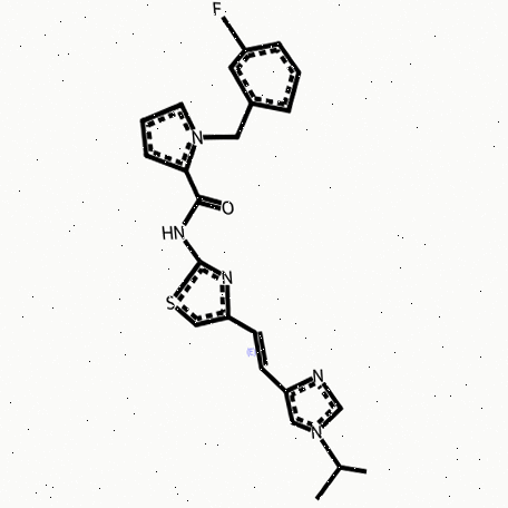 CC(C)n1cnc(/C=C/c2csc(NC(=O)c3cccn3Cc3cccc(F)c3)n2)c1